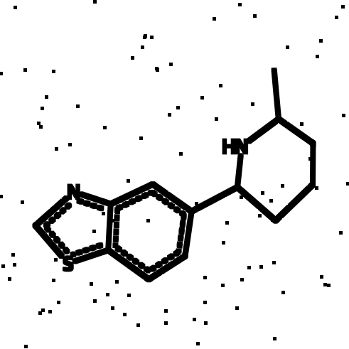 CC1CCCC(c2ccc3scnc3c2)N1